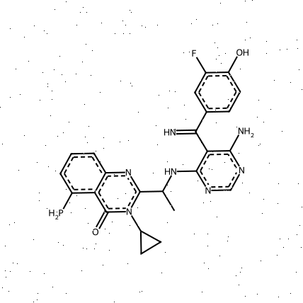 CC(Nc1ncnc(N)c1C(=N)c1ccc(O)c(F)c1)c1nc2cccc(P)c2c(=O)n1C1CC1